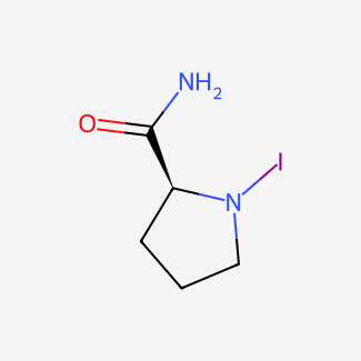 NC(=O)[C@@H]1CCCN1I